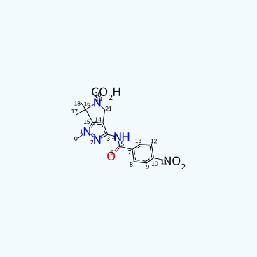 Cn1nc(NC(=O)c2ccc([N+](=O)[O-])cc2)c2c1C(C)(C)N(C(=O)O)C2